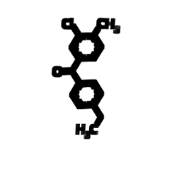 CCc1ccc(C(=O)c2ccc(C)c(Cl)c2)cc1